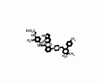 CCOC(=O)CNc1ccc(S(=O)(=O)NC(=O)c2cccc(N3CCN(CC4=C(c5ccc(C(F)(F)F)cc5)CC(C)(C)CC4)CC3)c2Oc2cnc3[nH]ccc3c2)cc1[N+](=O)[O-]